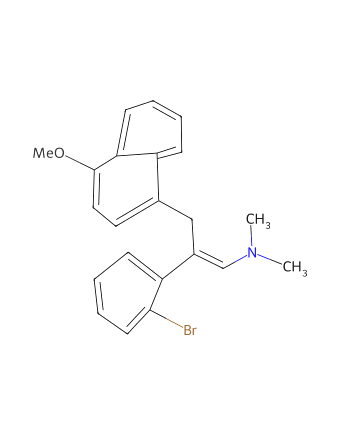 COc1ccc(C/C(=C\N(C)C)c2ccccc2Br)c2ccccc12